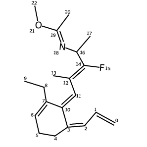 C=C/C=C1/CCC=C(CC)/C1=C\C(C)=C(/F)C(C)/N=C(\C)OC